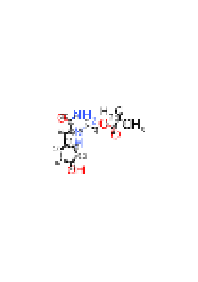 C=C(C)C(=O)OCCN[C@@H](Cc1ccc(O)cc1)C(N)=O